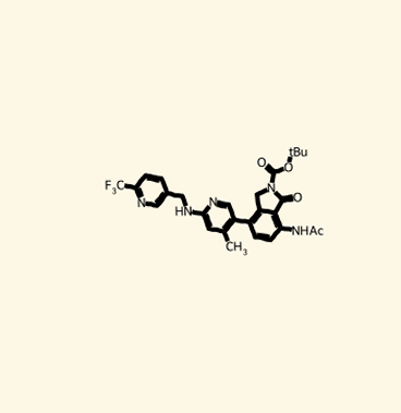 CC(=O)Nc1ccc(-c2cnc(NCc3ccc(C(F)(F)F)nc3)cc2C)c2c1C(=O)N(C(=O)OC(C)(C)C)C2